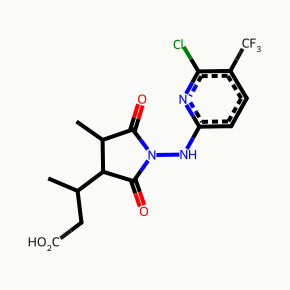 CC(CC(=O)O)C1C(=O)N(Nc2ccc(C(F)(F)F)c(Cl)n2)C(=O)C1C